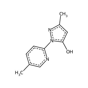 Cc1ccc(-n2nc(C)cc2O)nc1